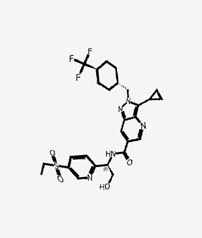 CCS(=O)(=O)c1ccc([C@H](CO)NC(=O)c2cnc3c(C4CC4)n(C[C@H]4CC[C@H](C(F)(F)F)CC4)nc3c2)nc1